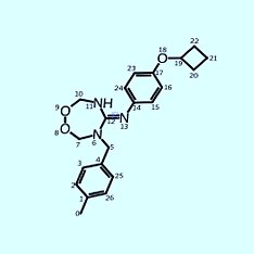 Cc1ccc(CN2COOCN/C2=N\c2ccc(OC3CCC3)cc2)cc1